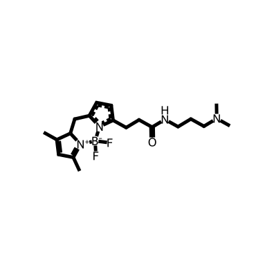 CC1=CC(C)=[N+]2C1Cc1ccc(CCC(=O)NCCCN(C)C)n1[B-]2(F)F